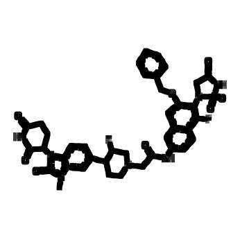 Cn1c(=O)n(C2CCC(=O)NC2=O)c2ccc(C3CCN(CC(=O)Nc4ccc5c(F)c(N6CC(=O)NS6(=O)=O)c(OCc6ccccc6)cc5c4)CC3F)cc21